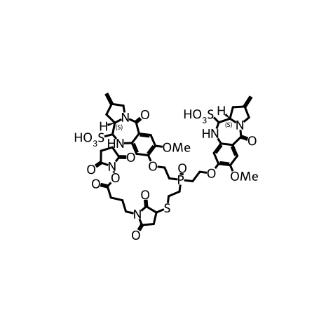 C=C1C[C@H]2C(S(=O)(=O)O)Nc3cc(OCCP(=O)(CCOc4cc5c(cc4OC)C(=O)N4CC(=C)C[C@H]4C(S(=O)(=O)O)N5)CCSC4CC(=O)N(CCCC(=O)ON5C(=O)CCC5=O)C4=O)c(OC)cc3C(=O)N2C1